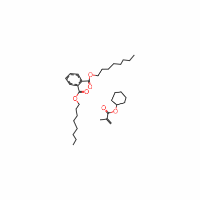 C=C(C)C(=O)OC1CCCCC1.CCCCCCCCOC(=O)c1ccccc1C(=O)OCCCCCCCC